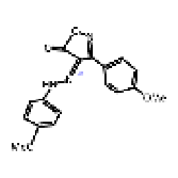 COc1ccc(N/N=C2\C(=O)ON=C2c2ccc(OC)cc2)cc1